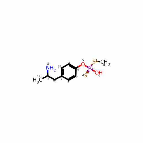 CSP(O)(=S)Oc1ccc(CC(C)N)cc1